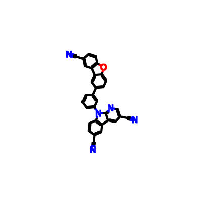 N#Cc1ccc2oc3ccc(-c4cccc(-n5c6ccc(C#N)cc6c6cc(C#N)cnc65)c4)cc3c2c1